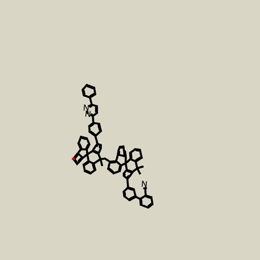 CC1(C)c2ccccc2C2(c3ccccc3-c3c(CC4(C)c5ccccc5C5(c6ccccc6-c6ccccc65)c5cc(-c6ccc(-c7ccc(-c8ccccc8)nn7)cc6)ccc54)cccc32)c2ccc(-c3cccc(-c4ccccc4C#N)c3)cc21